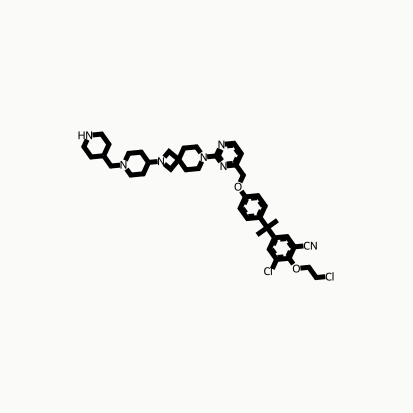 CC(C)(c1ccc(OCc2ccnc(N3CCC4(CC3)CN(C3CCN(CC5CCNCC5)CC3)C4)n2)cc1)c1cc(Cl)c(OCCCl)c(C#N)c1